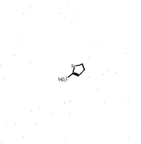 O=C(O)C1=CCC[Se]1